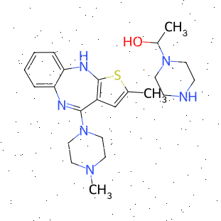 CC(O)N1CCNCC1.Cc1cc2c(s1)Nc1ccccc1N=C2N1CCN(C)CC1